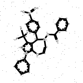 O=C(ON1C=COc2c(c(C(F)(F)F)nn2-c2ccccc2)C1c1ccc([N+](=O)[O-])cc1)c1ccccc1